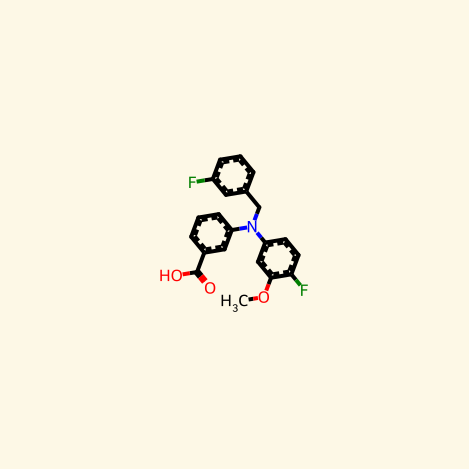 COc1cc(N(Cc2cccc(F)c2)c2cccc(C(=O)O)c2)ccc1F